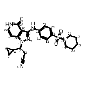 N#CC[C@@H](C1CC1)n1nc(Nc2ccc(S(=O)(=O)N3CCCCC3)cc2)c2c(=O)[nH]ccc21